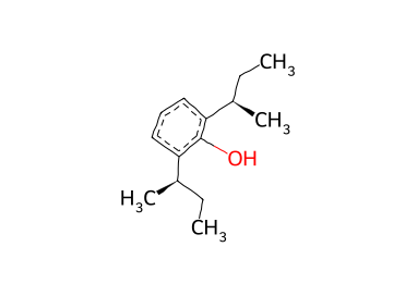 CC[C@@H](C)c1cccc([C@H](C)CC)c1O